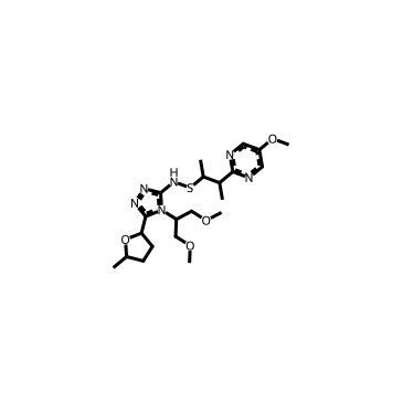 COCC(COC)n1c(NSC(C)C(C)c2ncc(OC)cn2)nnc1C1CCC(C)O1